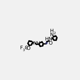 Nc1ccccc1NC(=O)/C=C/c1ccc(CNc2cccc(OC(F)(F)F)c2)cc1